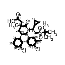 CC(C)(C)S(=O)(=O)C[C@H](C1CC1)N1C(=O)[C@](C)(CC(=O)O)C[C@H](c2cccc(Cl)c2)[C@H]1c1ccc(Cl)c(F)c1